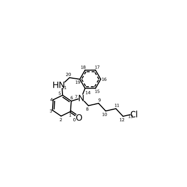 O=C1CC=CC2=C1N(CCCCCCl)c1ccccc1CN2